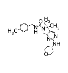 Cc1ccc(CNC(=O)N2Cc3nc(NC4CCOCC4)ncc3C2(C)C)cc1